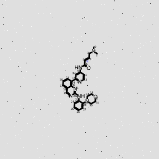 CN(C)C/C=C/C(=O)Nc1ccnc(-c2cccc3cnc(Nc4ccccc4N4CCOCC4)nc23)c1